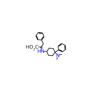 CN(C)C1(c2ccccc2)CCC(N[C@H](Cc2ccccc2)C(=O)O)CC1